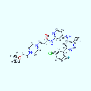 CC(C)(C)[Si](C)(C)OCCN1CCN(C=CC(=O)Nc2cc(Nc3cc(-c4cc(Cl)ccc4F)nnc3C(F)(F)F)ccn2)CC1